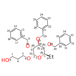 CC[C@H]1O[C@H](OCCCO)[C@H](OCc2ccccc2)[C@@H](OCc2ccccc2)[C@@H]1OCc1ccccc1